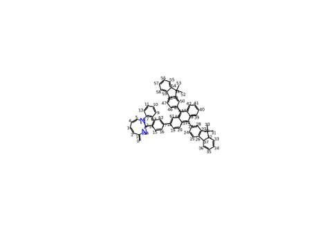 C=C1/C=C\C=C/N(c2ccccc2)/C(c2ccc(-c3ccc4c(-c5ccc6c(c5)C(C)(C)C5C=CC=CC65)c5ccccc5c(-c5ccc6c(c5)C(C)(C)c5ccccc5-6)c4c3)cc2)=N\1